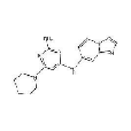 Nc1nc(Nc2ccn3ccnc3c2)cc(N2CCCCC2)n1